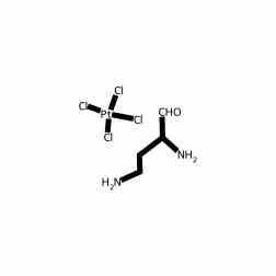 NCCC(N)C=O.[Cl][Pt]([Cl])([Cl])[Cl]